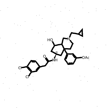 CC(=O)Oc1cccc(C23CCN(CC4CC4)CC2C(O)C[C@H](NC(=O)Cc2ccc(Cl)c(Cl)c2)C3)c1